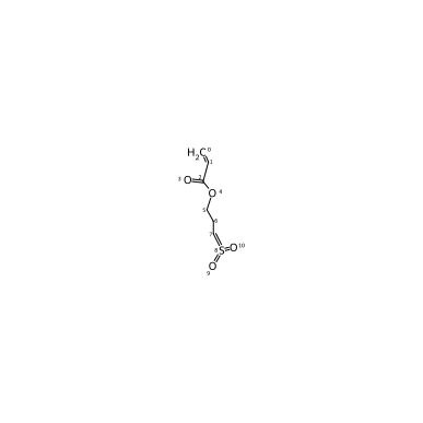 C=CC(=O)OCCC=S(=O)=O